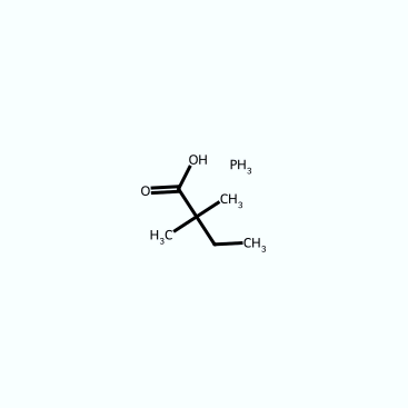 CCC(C)(C)C(=O)O.P